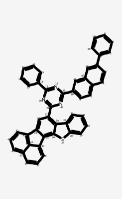 c1ccc(-c2ccc3ccc(-c4nc(-c5ccccc5)nc(-c5cc6c(c7sc8ccccc8c57)-c5cccc7cccc-6c57)n4)cc3c2)cc1